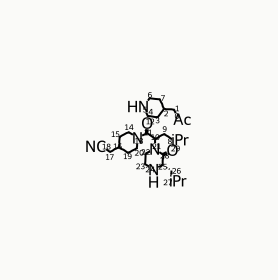 CC(=O)CC1CCNCC1.CC(C)CC(C(=O)N1CCC(CC#N)CC1)N1CCN[C@@H](CC(C)C)C1=O